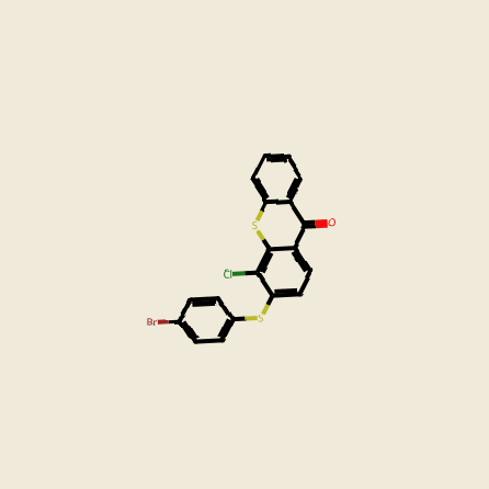 O=c1c2ccccc2sc2c(Cl)c(Sc3ccc(Br)cc3)ccc12